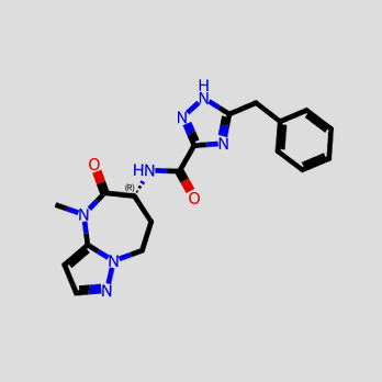 CN1C(=O)[C@H](NC(=O)c2n[nH]c(Cc3ccccc3)n2)CCn2nccc21